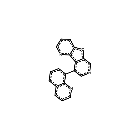 c1cnc2c(-c3cncc4oc5cccnc5c34)cccc2c1